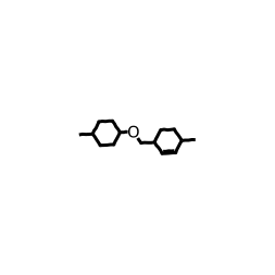 CC1C=CC(COC2CCC(C)CC2)CC1